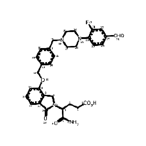 NC(=O)C(CCC(=O)O)N1Cc2c(OCc3ccc(CN4CCN(c5ccc(C=O)cc5F)CC4)cc3)cccc2C1=O